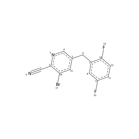 N#Cc1ncc(Cc2cc(F)ccc2F)cc1Br